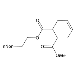 CCCCCCCCCCCOC(=O)C1CC=CCC1C(=O)OC